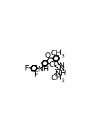 CCNc1nnc(-c2ccc(C)c(C(=O)c3ccc(Nc4ccc(F)cc4F)cc3Cl)c2)s1